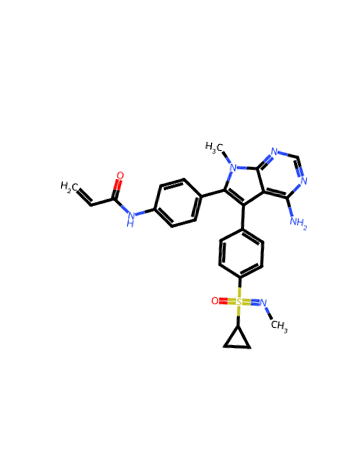 C=CC(=O)Nc1ccc(-c2c(-c3ccc(S(=O)(=NC)C4CC4)cc3)c3c(N)ncnc3n2C)cc1